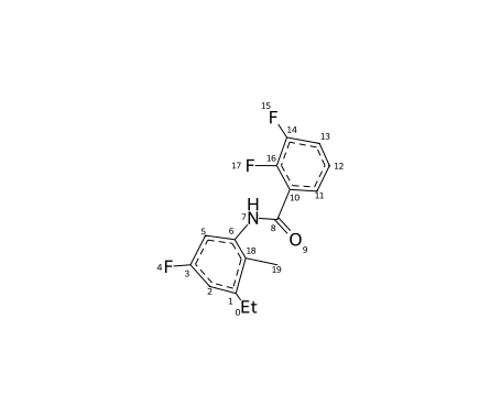 CCc1cc(F)cc(NC(=O)c2cccc(F)c2F)c1C